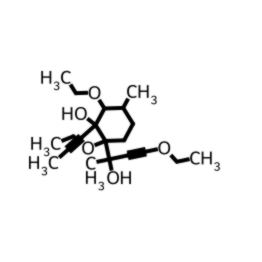 CC#CC1(O)C(OCC)C(C)CCC1(OCC)C(C)(O)C#COCC